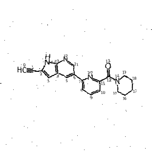 C#Cc1cc2cc(-c3cccc(C(=O)N4CCCCC4)n3)cnc2[nH]1